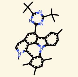 Cc1ccc2c(c1)c1c(-c3nc(C(C)(C)C)nc(C(C)(C)C)n3)cc3cc[n+](C)c4c5c(C)c(C)cc(C)c5n2c1c34